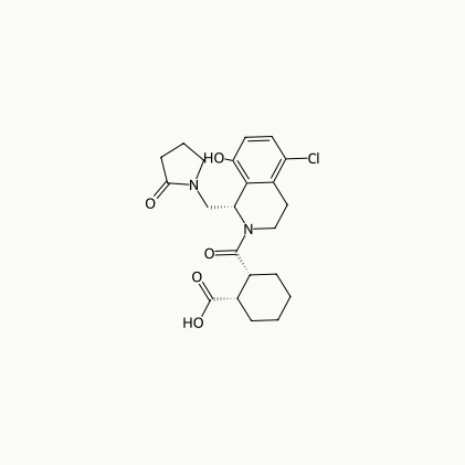 O=C(O)[C@H]1CCCC[C@H]1C(=O)N1CCc2c(Cl)ccc(O)c2[C@H]1CN1CCCC1=O